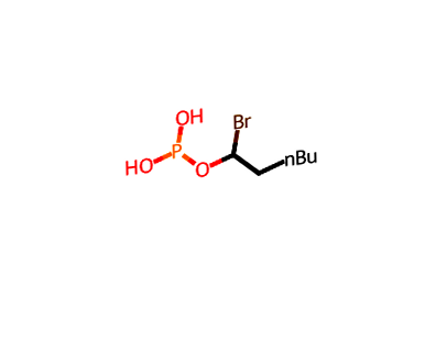 CCCCCC(Br)OP(O)O